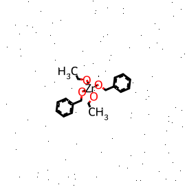 CC[O][Zr]([O]CC)([O]Cc1ccccc1)[O]Cc1ccccc1